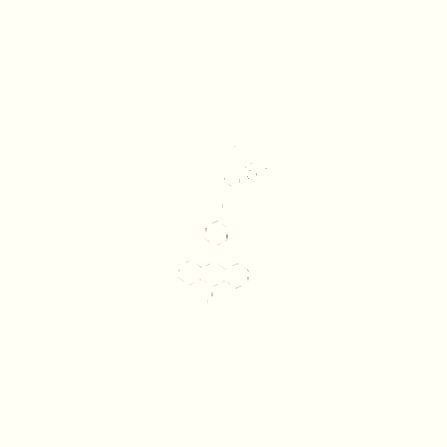 O=C(COc1ccc(-[s+]2c3ccccc3c(=O)c3ccccc32)cc1)OC12CC3CC(C1)C(=O)C(C3)C2